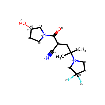 CC(C)(CC(C#N)C(=O)N1CC[C@H](O)C1)N1CCC(F)(F)C1